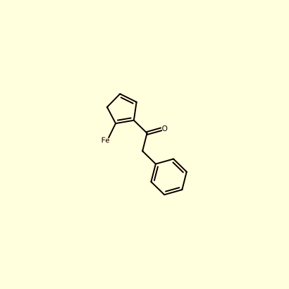 O=C(Cc1ccccc1)C1=[C]([Fe])CC=C1